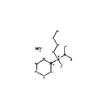 CCCC[N+](C)(C(C)C)N1CCCCC1.[OH-]